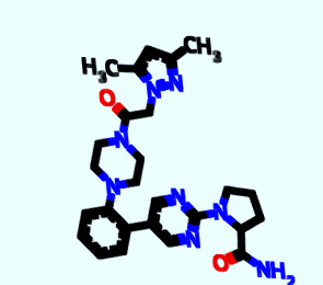 Cc1cc(C)n(CC(=O)N2CCN(c3ccccc3-c3cnc(N4CCCC4C(N)=O)nc3)CC2)n1